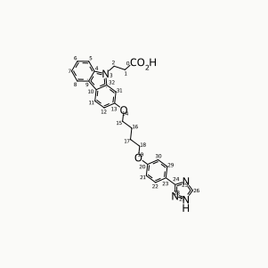 O=C(O)CCn1c2ccccc2c2ccc(OCCCCOc3ccc(-c4nc[nH]n4)cc3)cc21